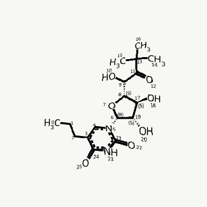 CCCc1cn([C@@H]2O[C@H](C(O)C(=O)C(C)(C)C)[C@@H](O)[C@@H]2O)c(=O)[nH]c1=O